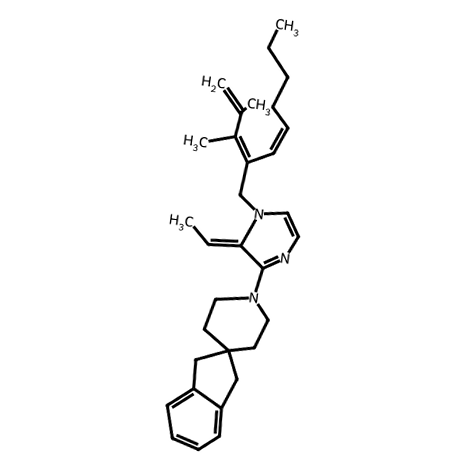 C=C(C)/C(C)=C(\C=C/CCCC)CN1C=CN=C(N2CCC3(CC2)Cc2ccccc2C3)/C1=C/C